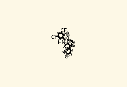 CC(Nc1ncnc2c(C(F)(F)F)cc(Cl)cc12)c1nccnc1-c1ccc(=O)n(C)n1